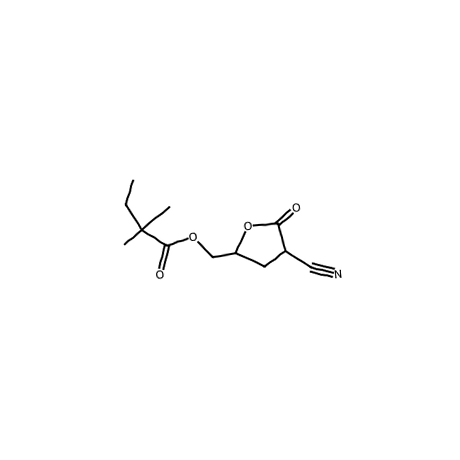 CCC(C)(C)C(=O)OCC1CC(C#N)C(=O)O1